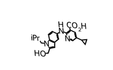 CC(C)Cn1c(CO)cc2cc(Nc3ncc(C4CC4)cc3C(=O)O)ccc21